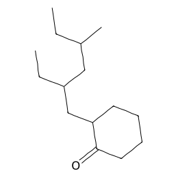 CCC(C)CC(CC)CC1CCCCC1=O